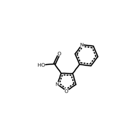 O=C(O)c1nocc1-c1cccnc1